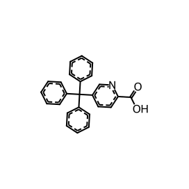 O=C(O)c1ccc(C(c2ccccc2)(c2ccccc2)c2ccccc2)cn1